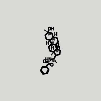 C[C@H](NS(=O)(=O)c1ccccc1)C1CC[C@H]2[C@@H]3CC[C@@H]4C[C@](C)(O)CC[C@@H]4[C@H]3CC[C@]12C